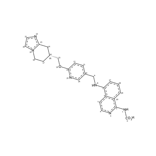 O=C(O)Nc1nccc2c(NCc3ccc(OC[C@@H]4CCn5ccnc5C4)nc3)cccc12